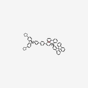 c1ccc(-c2ccccc2N(c2ccc(-c3ccc(-c4ccc(-n5c6ccc(C7CCCC7)cc6c6cc(C7CCCC7)ccc65)cc4)cc3)cc2)c2ccc3c(c2)C2(c4ccccc4-c4ccccc42)c2ccccc2-3)cc1